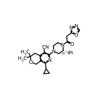 CC(C)[C@@H]1CN(c2nc(C3CC3)c3c(c2C#N)CC(C)(C)OC3)CCN1C(=O)Cc1nnco1